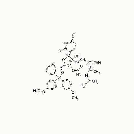 COc1ccc(C(OC[C@H]2O[C@@H](n3ccc(=O)[nH]c3=O)[C@@](O)([Te]C)[C@@H]2OP(NN(C(C)C)C(C)C)OCCC#N)(c2ccccc2)c2ccc(OC)cc2)cc1